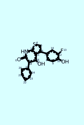 O=c1[nH]c2scc(-c3ccc(O)c(F)c3)c2c(O)c1-c1ccccc1